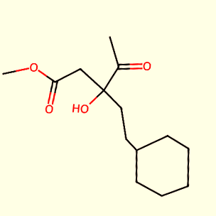 COC(=O)CC(O)(CCC1CCCCC1)C(C)=O